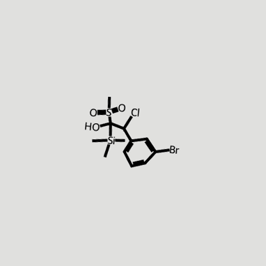 C[Si](C)(C)C(O)([C](Cl)c1cccc(Br)c1)S(C)(=O)=O